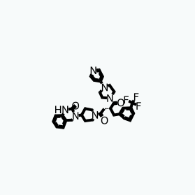 O=C(C[C@@H](Cc1cccc(C(F)(F)F)c1)C(=O)N1CCN(c2ccncc2)CC1)N1CCC(N2Cc3ccccc3NC2=O)CC1